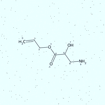 C=CCOC(=O)C(O)CN